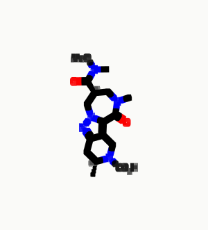 CON(C)C(=O)[C@H]1CN(C)C(=O)c2c3c(nn2C1)C[C@@H](C)N(C(=O)O)C3